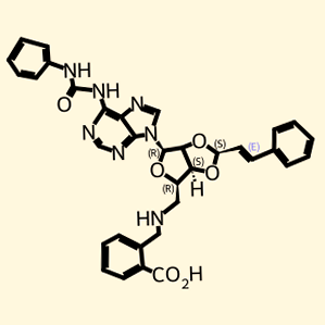 O=C(Nc1ccccc1)Nc1ncnc2c1ncn2[C@@H]1O[C@H](CNCc2ccccc2C(=O)O)[C@@H]2O[C@H](/C=C/c3ccccc3)OC21